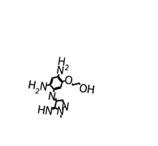 CN1N=CC(=Nc2cc(OCCO)c(N)cc2N)C1=N